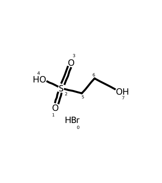 Br.O=S(=O)(O)CCO